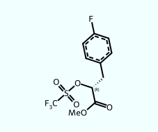 COC(=O)[C@@H](Cc1ccc(F)cc1)OS(=O)(=O)C(F)(F)F